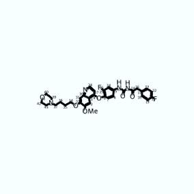 COc1cc2c(Oc3ccc(NC(=O)NC(=O)Cc4ccc(F)cc4)cc3F)ccnc2cc1OCCCCN1CCOCC1